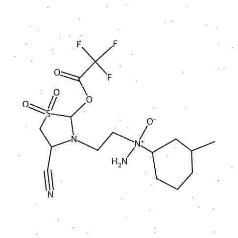 CC1CCCC([N+](N)([O-])CCN2C(C#N)CS(=O)(=O)C2OC(=O)C(F)(F)F)C1